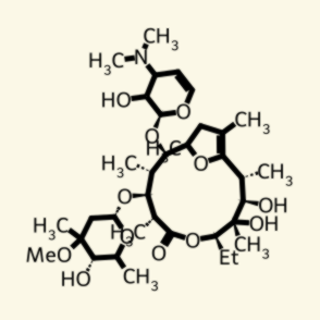 CC[C@H]1OC(=O)[C@H](C)[C@@H](O[C@H]2CC(C)(OC)[C@@H](O)C(C)O2)[C@H](C)[C@@H](O[C@@H]2OC=CC(N(C)C)C2O)[C@@]2(C)CC(C)=C(O2)[C@H](C)[C@@H](O)[C@]1(C)O